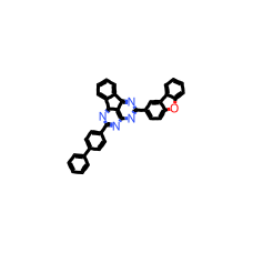 c1ccc(-c2ccc(-c3nc4c5c(nc(-c6ccc7oc8ccccc8c7c6)nc5n3)-c3ccccc3-4)cc2)cc1